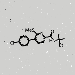 [CH2]C(C)([CH]C)NC(=O)c1ccc(-c2ccc(Cl)cc2)c(SC)n1